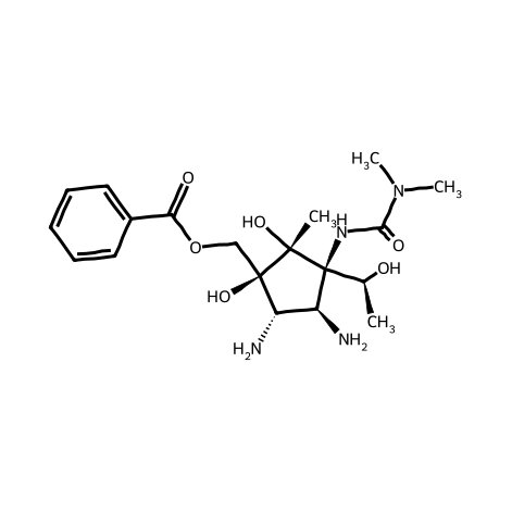 C[C@H](O)[C@]1(NC(=O)N(C)C)[C@@H](N)[C@H](N)[C@](O)(COC(=O)c2ccccc2)[C@]1(C)O